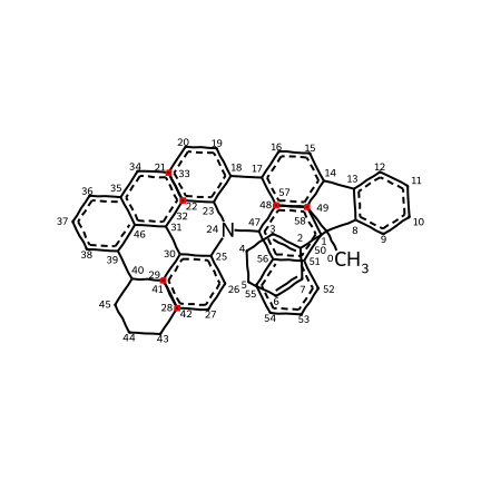 CC1(C2=CCCC=C2)c2ccccc2-c2ccc(-c3ccccc3N(c3ccccc3-c3cccc4cccc(C5CCCCC5)c34)c3cccc4ccccc34)cc21